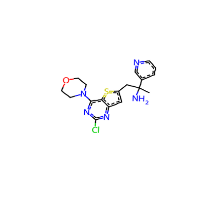 CC(N)(Cc1cc2nc(Cl)nc(N3CCOCC3)c2s1)c1cccnc1